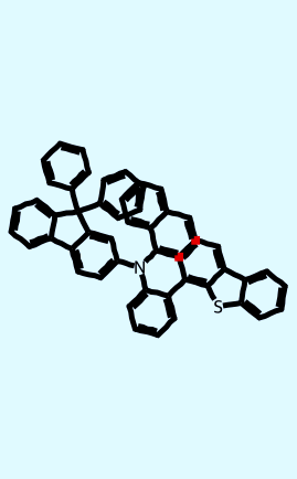 c1ccc(C2(c3ccccc3)c3ccccc3-c3ccc(N(c4ccccc4-c4cccc5c4sc4ccccc45)c4cccc5ccccc45)cc32)cc1